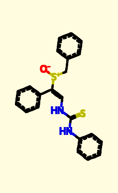 [O-][S+](Cc1ccccc1)C(=CNC(=S)Nc1ccccc1)c1ccccc1